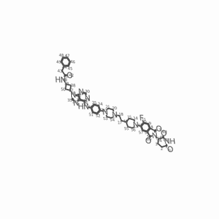 O=C1CC[C@H](N2C(=O)c3cc(F)c(N4CCC(CCN5CCN(c6ccc(Nc7ncnc8c7ncn8C7CC(NC(=O)Cc8ccccc8)C7)cc6)CC5)CC4)cc3C2=O)C(=O)N1